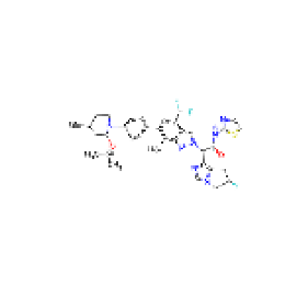 Cc1c(-c2ccc(N3CCC(C(C)(C)C)CC3O[SiH](C)C)cc2)cc(C(F)F)c2cn(C(C(=O)Nc3nccs3)c3ncn4c3C[C@@H](F)C4)nc12